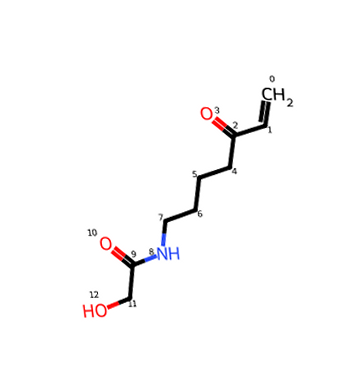 C=CC(=O)CCCCNC(=O)CO